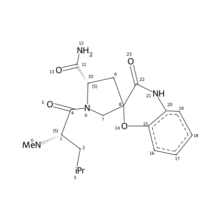 CN[C@@H](CC(C)C)C(=O)N1CC2(C[C@H]1C(N)=O)Oc1ccccc1NC2=O